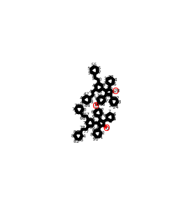 O=C1C(c2ccccc2)=C(c2ccc(Oc3ccc(C4=C(c5ccccc5)C(=O)C(c5ccccc5)=C4c4cc(CCc5ccccc5)cc(CCc5ccccc5)c4)cc3)cc2)C(c2cc(CCc3ccccc3)cc(CCc3ccccc3)c2)=C1c1ccccc1